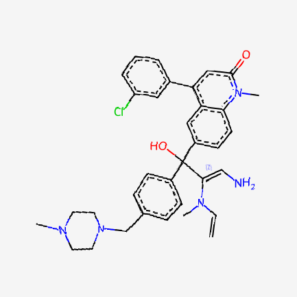 C=CN(C)/C(=C\N)C(O)(c1ccc(CN2CCN(C)CC2)cc1)c1ccc2c(c1)c(-c1cccc(Cl)c1)cc(=O)n2C